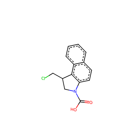 O=C(O)N1CC(CCl)c2c1ccc1ccccc21